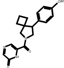 COc1ccc(C2CN(C(=O)c3cncc(=O)[nH]3)CC23CCC3)cc1